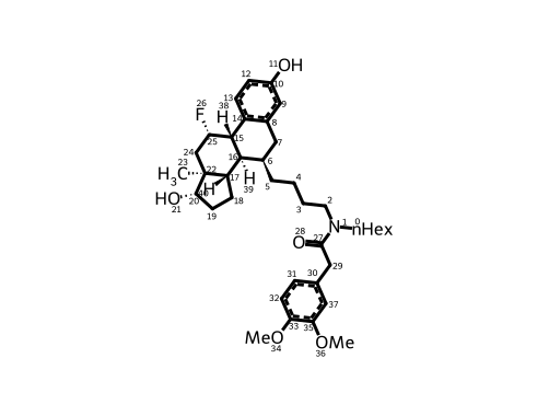 CCCCCCN(CCCC[C@@H]1Cc2cc(O)ccc2[C@@H]2[C@@H]1[C@@H]1CC[C@H](O)[C@@]1(C)C[C@@H]2F)C(=O)Cc1ccc(OC)c(OC)c1